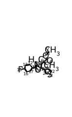 CCOC(=O)C(C)(C)c1nc(-c2ccc(F)cc2)oc1-c1ccsc1